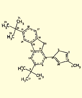 CC1=CCC(c2cc(C(C)(C)C)cc3c2[CH]c2ccc(C(C)(C)C)cc2-3)=C1